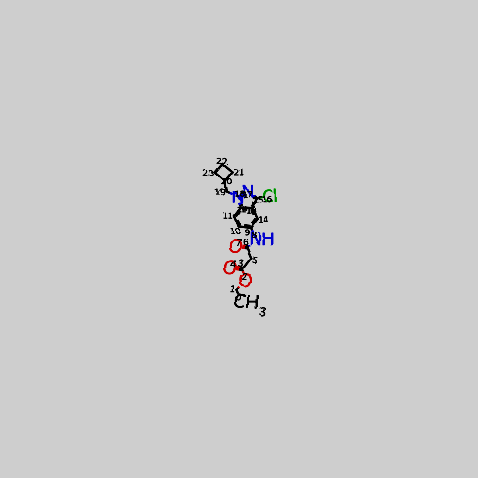 CCOC(=O)CC(=O)Nc1ccc2c(c1)c(Cl)nn2CC1CCC1